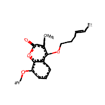 CCC=CCCOc1c(OC)c(=O)oc2c(OC(C)C)cccc12